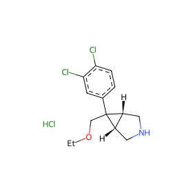 CCOCC1(c2ccc(Cl)c(Cl)c2)[C@@H]2CNC[C@@H]21.Cl